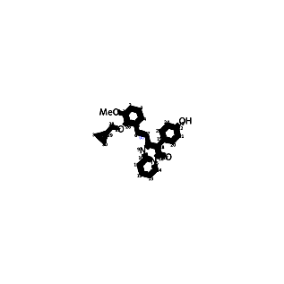 COc1cccc(/C=C/c2nc3ccccn3c(=O)c2-c2ccc(O)cc2)c1OCC1CC1